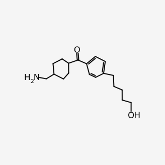 NCC1CCC(C(=O)c2ccc(CCCCCO)cc2)CC1